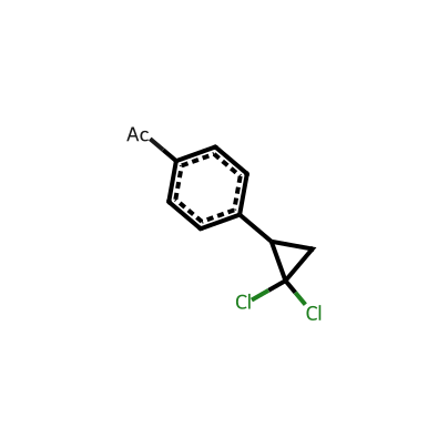 CC(=O)c1ccc(C2CC2(Cl)Cl)cc1